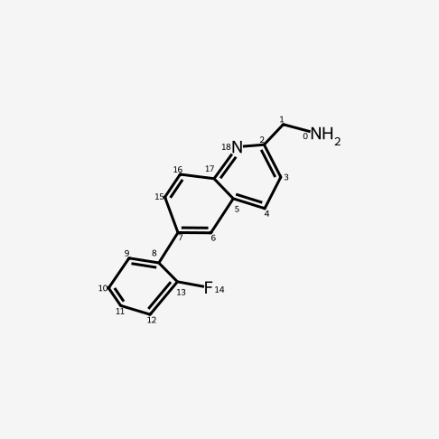 NCc1ccc2cc(-c3ccccc3F)ccc2n1